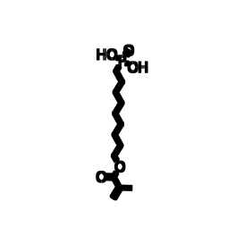 C=C(C)C(=O)OCCCCCCCCCP(=O)(O)O